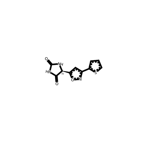 O=C1NC(=O)[C@H](c2cc(-c3cccs3)no2)N1